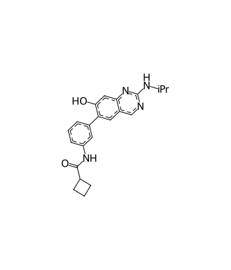 CC(C)Nc1ncc2cc(-c3cccc(NC(=O)C4CCC4)c3)c(O)cc2n1